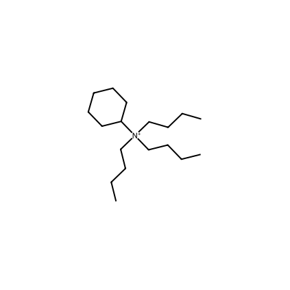 CCCC[N+](CCCC)(CCCC)C1CCCCC1